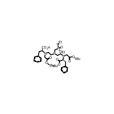 CCOP(=O)(CN(CCN(CC(=O)OC(C)(C)C)[C@@H](Cc1ccccc1)C(=O)O)CCN(CC(=O)OC(C)(C)C)[C@@H](Cc1ccccc1)C(=O)OC(C)(C)C)OCC